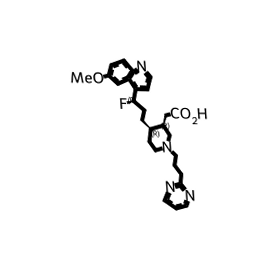 COc1ccc2nccc([C@H](F)CC[C@@H]3CCN(CCCc4ncccn4)C[C@@H]3CC(=O)O)c2c1